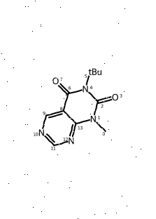 Cn1c(=O)n(C(C)(C)C)c(=O)c2cncnc21